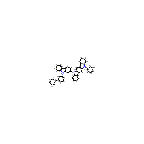 c1ccc(-c2cccc(-n3c4ccccc4c4ccc(-n5c6ccccc6c6cc7c(cc65)c5ccccc5n7-c5ccccc5)cc43)c2)cc1